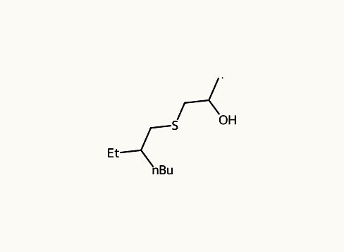 [CH2]C(O)CSCC(CC)CCCC